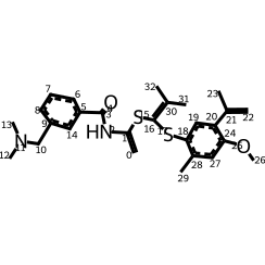 C=C(NC(=O)c1cccc(CN(C)C)c1)SC(Sc1cc(C(=C)C)c(OC)cc1C)=C(C)C